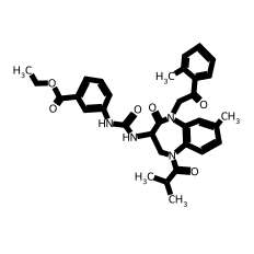 CCOC(=O)c1cccc(NC(=O)NC2CN(C(=O)C(C)C)c3ccc(C)cc3N(CC(=O)c3ccccc3C)C2=O)c1